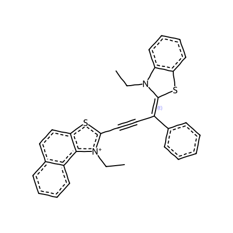 CCN1/C(=C(\C#Cc2sc3ccc4ccccc4c3[n+]2CC)c2ccccc2)Sc2ccccc21